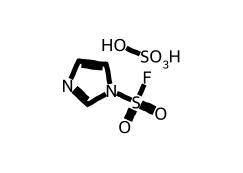 O=S(=O)(F)n1ccnc1.O=S(=O)(O)O